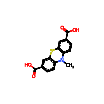 CN1c2ccc(C(=O)O)cc2Sc2cc(C(=O)O)ccc21